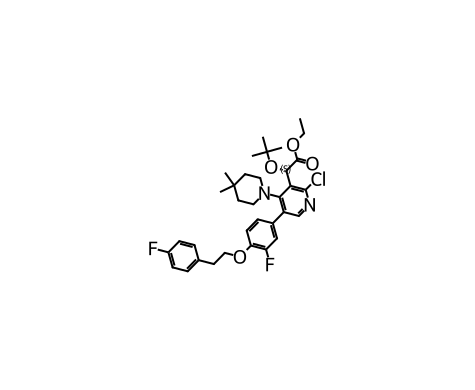 CCOC(=O)[C@@H](OC(C)(C)C)c1c(Cl)ncc(-c2ccc(OCCc3ccc(F)cc3)c(F)c2)c1N1CCC(C)(C)CC1